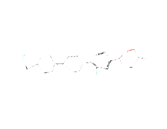 CC1COC(c2ccc(C3CCC(C4CCC(CF)CC4)CC3)c(F)c2)OC1